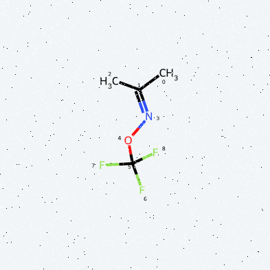 CC(C)=NOC(F)(F)F